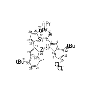 CCCc1ccc(C2=Cc3c(cccc3C(C)(C)C)[CH]2[Zr+2][CH]2C(c3ccc(CCC)s3)=Cc3c2cccc3C(C)(C)C)s1.[Cl-].[Cl-]